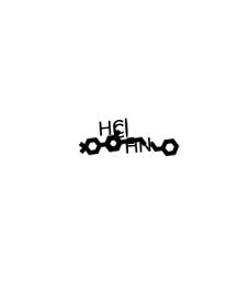 CC1(C)CCC(c2ccc(C#CCNCCC3CCCCC3)c(Cl)c2)CC1.Cl